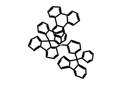 c1ccc(C2(c3cccc(N(c4ccc5c6ccccc6c6ccccc6c5c4)c4cccc5c4C4(c6ccccc6-c6ccccc64)c4ccccc4-5)c3)c3ccccc3-c3ccccc32)cc1